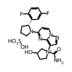 NC(=O)[N+]1(c2cnn3ccc(N4CCC[C@@H]4c4cc(F)ccc4F)nc23)CCC(O)C1.O=S(=O)(O)O